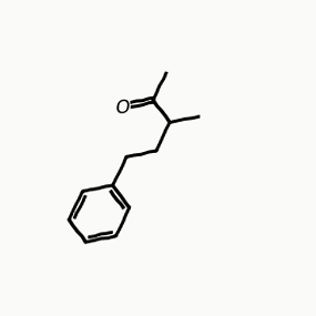 CC(=O)C(C)CCc1ccccc1